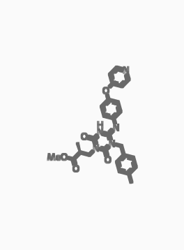 COC(=O)[C@@H](C)Cn1c(=O)[nH]/c(=N\c2ccc(Oc3ccncc3)cc2)n(Cc2ccc(C)cc2)c1=O